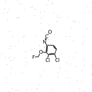 O=C=Nc1ccc(Cl)c(Cl)c1OCF